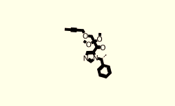 CC#CCOCC(OC)(OC)C(=O)c1cncn1[C@H](C)c1ccccc1